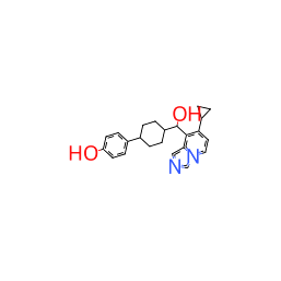 Oc1ccc(C2CCC(C(O)c3c(C4CC4)ccn4cncc34)CC2)cc1